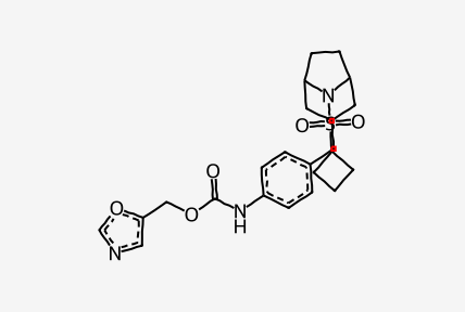 O=C(Nc1ccc(CC2CC3CCC(C2)N3S(=O)(=O)C2CCC2)cc1)OCc1cnco1